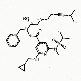 CC(C)C#CCCNC[C@@H](O)[C@H](Cc1ccccc1)NC(=O)c1cc(NCC2CC2)nc(N(C)S(=O)(=O)C(C)C)c1